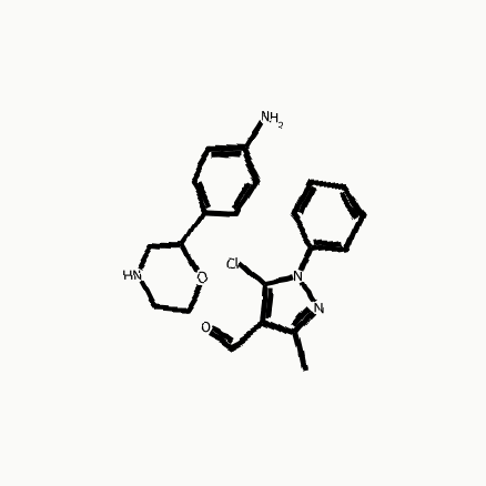 Cc1nn(-c2ccccc2)c(Cl)c1C=O.Nc1ccc(C2CNCCO2)cc1